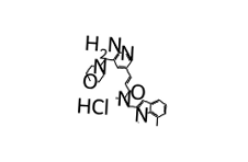 Cc1cccc2cc(CN(C)C(=O)C=Cc3cnc(N)c(CN4CCOCC4)c3)n(C)c12.Cl